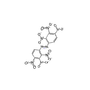 O=[N+]([O-])c1ccc(/N=N/c2ccc([N+](=O)[O-])c([N+](=O)[O-])c2[N+](=O)[O-])c([N+](=O)[O-])c1[N+](=O)[O-]